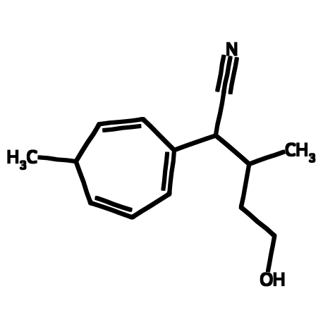 CC1C=CC=C(C(C#N)C(C)CCO)C=C1